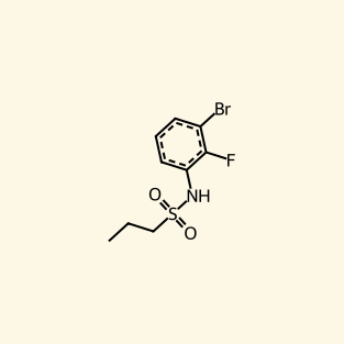 CCCS(=O)(=O)Nc1cccc(Br)c1F